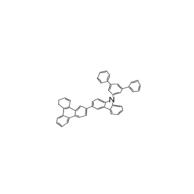 C1=Cc2c(c3ccccc3c3ccc(-c4ccc5c(c4)c4ccccc4n5-c4cc(-c5ccccc5)cc(-c5ccccc5)c4)cc23)CC1